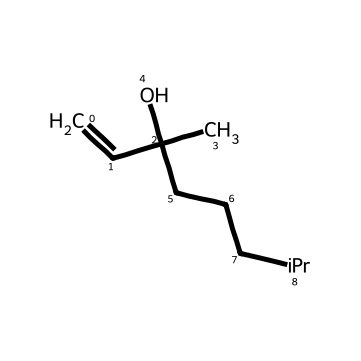 C=CC(C)(O)CCCC(C)C